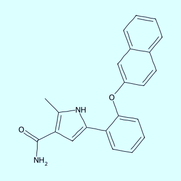 Cc1[nH]c(-c2ccccc2Oc2ccc3ccccc3c2)cc1C(N)=O